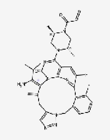 C=CC(=O)N1C[C@H](C)N(c2nc(=O)n3c4nc(c(F)cc24)-c2c(F)cccc2Cn2nncc2CC(=C)/C3=C(\N)C(C)C)C[C@H]1C